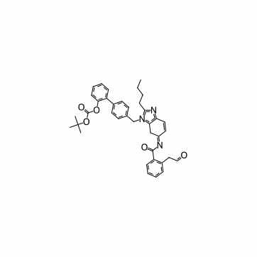 CCCCc1nc2c(n1Cc1ccc(-c3ccccc3OC(=O)OC(C)(C)C)cc1)CC(=NC(=O)c1ccccc1CC=O)C=C2